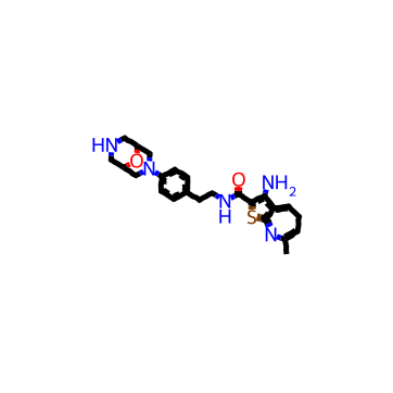 CC1=CCC=c2c(N)c(C(=O)NCCc3ccc(N4CC5CNCC(C4)O5)cc3)sc2=N1